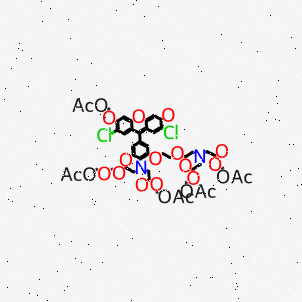 CC(=O)OCOCOC(=O)CN(CC(=O)OCOC(C)=O)c1ccc(-c2c3cc(Cl)c(=O)cc-3oc3cc(OCOC(C)=O)c(Cl)cc23)cc1OCCOCCN(CC(=O)OCOC(C)=O)CC(=O)OCOC(C)=O